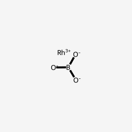 [O-]B([O-])[O-].[Rh+3]